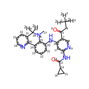 [2H]C([2H])([2H])CC(=O)c1cnc(NC(=O)C2CC2)cc1Nc1cccc2c1N(C)C([2H])([2H])c1cccnc1-2